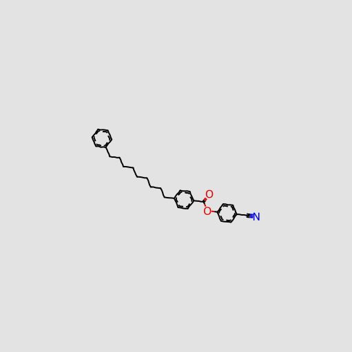 N#Cc1ccc(OC(=O)c2ccc(CCCCCCCCCc3ccccc3)cc2)cc1